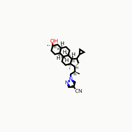 C[C@@H](Cn1cc(C#N)cn1)[C@H]1CC(C2CC2)[C@H]2[C@@H]3CC[C@@H]4C[C@](C)(O)CC[C@@H]4[C@H]3CC[C@]12C